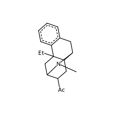 CCC12CC3C(C(C)=O)CC1C(Cc1ccccc12)N3C